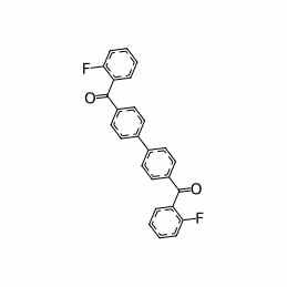 O=C(c1ccc(-c2ccc(C(=O)c3ccccc3F)cc2)cc1)c1ccccc1F